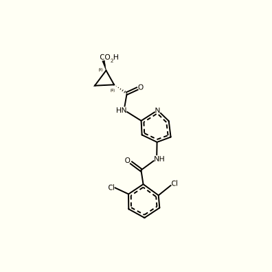 O=C(Nc1ccnc(NC(=O)[C@@H]2C[C@H]2C(=O)O)c1)c1c(Cl)cccc1Cl